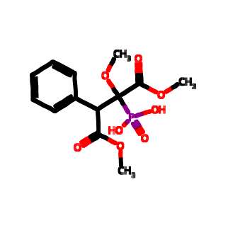 COC(=O)C(c1ccccc1)C(OC)(C(=O)OC)P(=O)(O)O